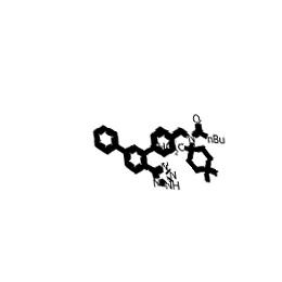 CCCCC(=O)N(Cc1ccc(-c2cc(-c3ccccc3)ccc2-c2nn[nH]n2)cc1)C1(C(=O)O)CCC(C)(C)CC1